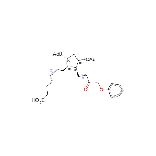 CC(=O)O[C@@H]1C[C@@H](OC(C)=O)[C@H](C/C=C\CCCC(=O)O)[C@@H]1/C=C/C(=O)COc1ccccc1